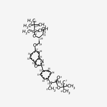 CN(C(=O)OC(C)(C)C)c1ccc(-c2nc3cc(OC[C@H](CO)O[Si](C)(C)C(C)(C)C)ccc3o2)cc1